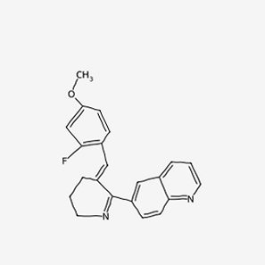 COc1ccc(/C=C2\CCCN=C2c2ccc3ncccc3c2)c(F)c1